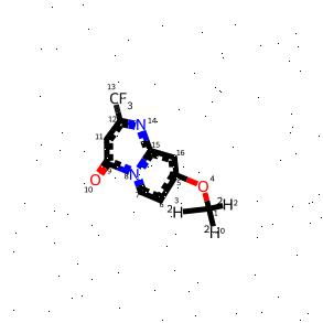 [2H]C([2H])([2H])Oc1ccn2c(=O)cc(C(F)(F)F)nc2c1